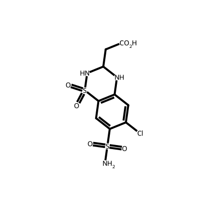 NS(=O)(=O)c1cc2c(cc1Cl)NC(CC(=O)O)NS2(=O)=O